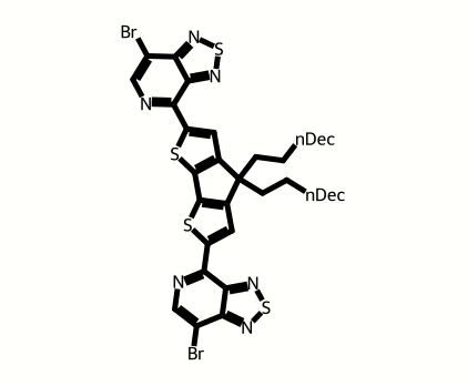 CCCCCCCCCCCCC1(CCCCCCCCCCCC)c2cc(-c3ncc(Br)c4nsnc34)sc2-c2sc(-c3ncc(Br)c4nsnc34)cc21